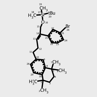 CC1(C)CCC(C)(C)c2cc(CCC=C(CO[Si](C)(C)C(C)(C)C)c3cccc(Br)c3)ccc21